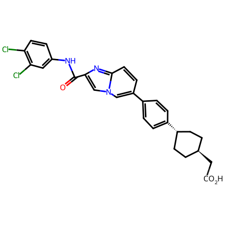 O=C(O)C[C@H]1CC[C@H](c2ccc(-c3ccc4nc(C(=O)Nc5ccc(Cl)c(Cl)c5)cn4c3)cc2)CC1